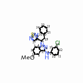 COc1ccc2c(c1)c(Nc1cccc(Cl)c1)nn2C(Cc1ccccc1)c1cnsn1